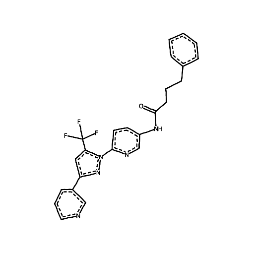 O=C(CCCc1ccccc1)Nc1ccc(-n2nc(-c3cccnc3)cc2C(F)(F)F)nc1